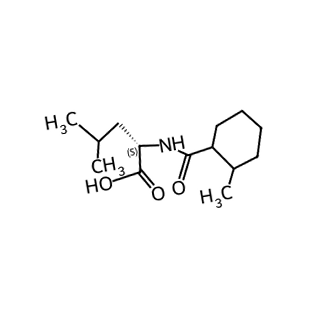 CC(C)C[C@H](NC(=O)C1CCCCC1C)C(=O)O